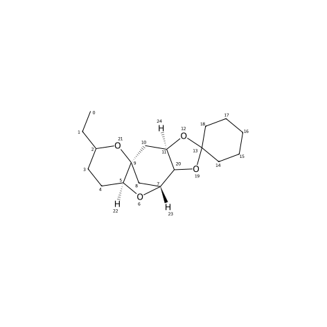 CCC1CC[C@@H]2O[C@@H]3C[C@]2(C[C@H]2OC4(CCCCC4)OC32)O1